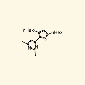 CCCCCCc1cc(CCCCCC)c(-c2cc(C)nc(C)n2)s1